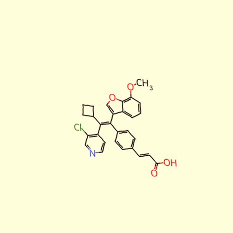 COc1cccc2c(/C(=C(/c3ccncc3Cl)C3CCC3)c3ccc(/C=C/C(=O)O)cc3)coc12